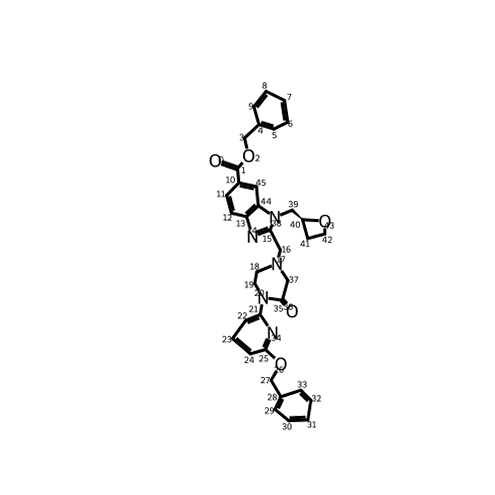 O=C(OCc1ccccc1)c1ccc2nc(CN3CCN(c4cccc(OCc5ccccc5)n4)C(=O)C3)n(C[C@@H]3CCO3)c2c1